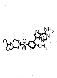 Cc1ccc(S(=O)(=O)N2CCN3C(=O)OCC3C2)cc1-c1cnc2c(N)ncnn12